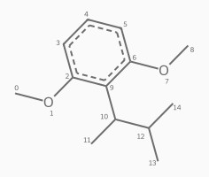 COc1cccc(OC)c1C(C)C(C)C